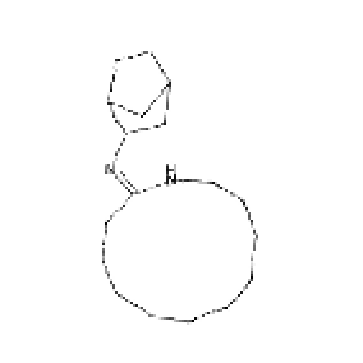 C1CCCCCC(=NC2CC3CCC2C3)NCCCC1